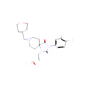 CCN1C(=O)N(c2ccc(Cl)c(F)c2)C(=O)C12CCN(CC1CCOCC1)CC2.O=CO